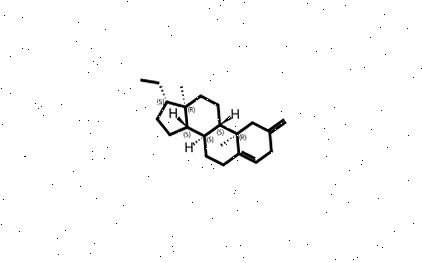 C=C1CC=C2CC[C@H]3[C@@H]4CC[C@H](CC)[C@@]4(C)CC[C@@H]3[C@@]2(C)C1